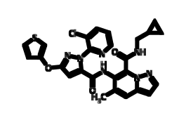 Cc1cc2ccnn2c(C(=O)NCC2CC2)c1NC(=O)c1cc(Oc2ccsc2)nn1-c1ncccc1Cl